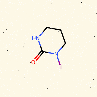 O=C1NCCCN1I